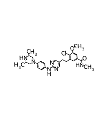 CNC(=O)c1cc(CCc2cnc(Nc3ccc(N4CC(C)NC(C)C4)cc3)nc2)c(Cl)c(OC)c1